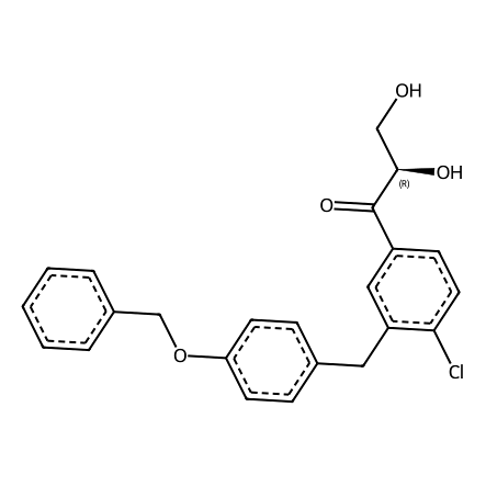 O=C(c1ccc(Cl)c(Cc2ccc(OCc3ccccc3)cc2)c1)[C@H](O)CO